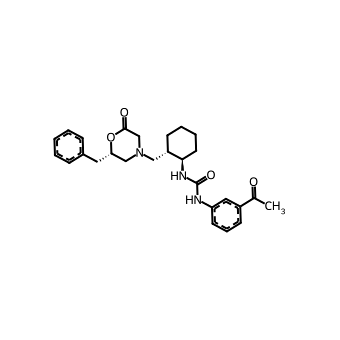 CC(=O)c1cccc(NC(=O)N[C@@H]2CCCC[C@H]2CN2CC(=O)O[C@@H](Cc3ccccc3)C2)c1